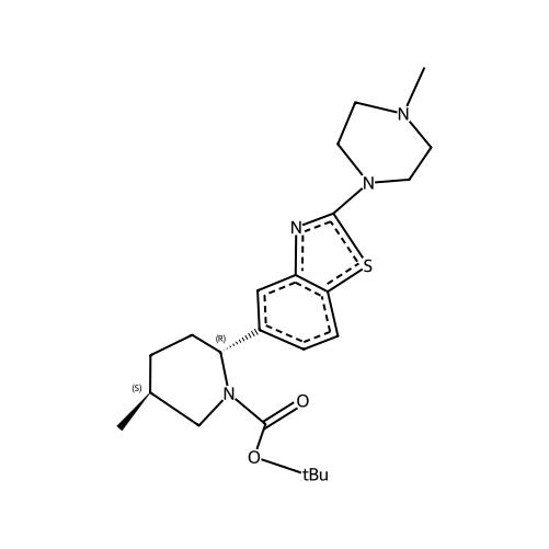 C[C@H]1CC[C@H](c2ccc3sc(N4CCN(C)CC4)nc3c2)N(C(=O)OC(C)(C)C)C1